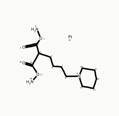 NOC(=O)C(CCCCN1CCCCC1)C(=O)ON.[Pt]